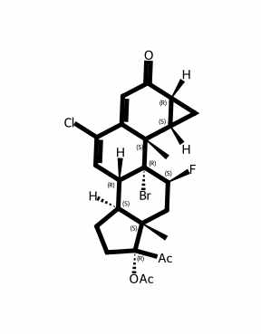 CC(=O)O[C@]1(C(C)=O)CC[C@H]2[C@@H]3C=C(Cl)C4=CC(=O)[C@@H]5C[C@@H]5[C@]4(C)[C@@]3(Br)[C@@H](F)C[C@@]21C